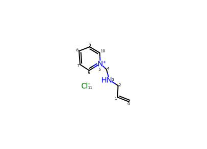 C=CCNC[n+]1ccccc1.[Cl-]